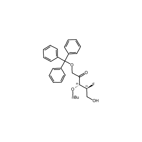 CCCCO[C@H](C(=O)COC(c1ccccc1)(c1ccccc1)c1ccccc1)[C@@H](F)CO